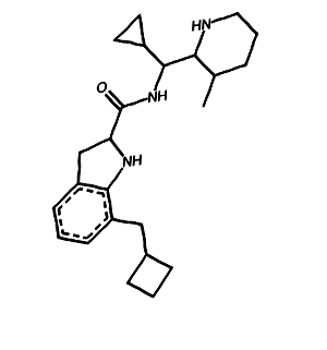 CC1CCCNC1C(NC(=O)C1Cc2cccc(CC3CCC3)c2N1)C1CC1